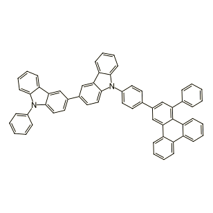 c1ccc(-c2cc(-c3ccc(-n4c5ccccc5c5cc(-c6ccc7c(c6)c6ccccc6n7-c6ccccc6)ccc54)cc3)cc3c4ccccc4c4ccccc4c23)cc1